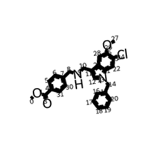 COC(=O)c1ccc(CNCc2cn(Cc3ccccc3)c3cc(Cl)c(OC)cc23)cc1